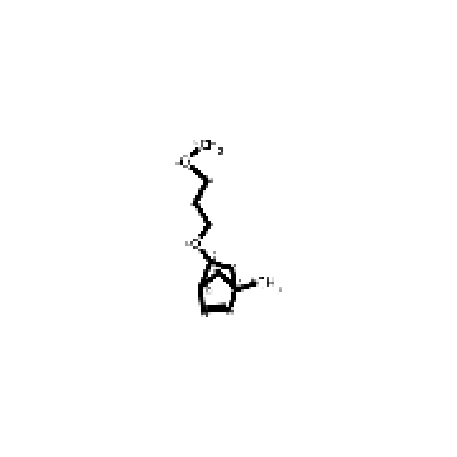 COCCCOC1CC2(C)C=CC1C2